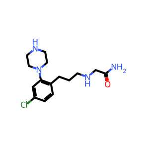 NC(=O)CNCCCc1ccc(Cl)cc1N1CCNCC1